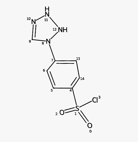 O=S(=O)(Cl)c1ccc(N2C=NNN2)cc1